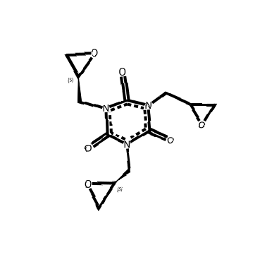 O=c1n(CC2CO2)c(=O)n(C[C@H]2CO2)c(=O)n1C[C@H]1CO1